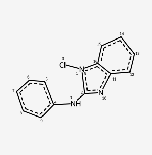 Cln1c(Nc2ccccc2)nc2ccccc21